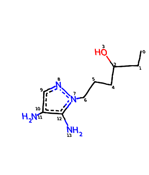 CCC(O)CCCn1ncc(N)c1N